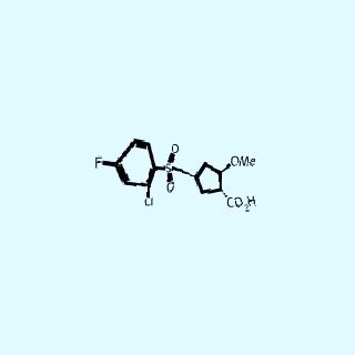 CO[C@@H]1C[C@H](S(=O)(=O)c2ccc(F)cc2Cl)C[C@H]1C(=O)O